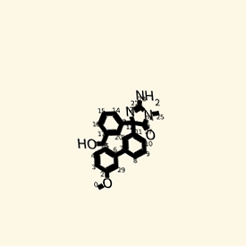 COc1cccc(-c2cccc(C3(c4cccc(CO)c4)N=C(N)N(C)C3=O)c2)c1